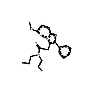 CCCN(CCC)C(=O)Cc1c(-c2ccccc2)nc2ccc(OC)nn12